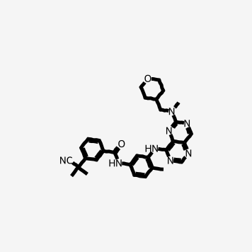 Cc1ccc(NC(=O)c2cccc(C(C)(C)C#N)c2)cc1Nc1ncnc2cnc(N(C)CC3CCOCC3)nc12